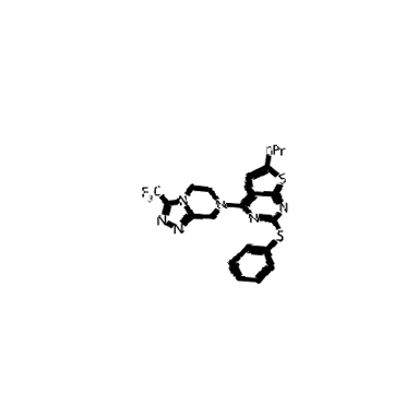 CCCc1cc2c(N3CCn4c(nnc4C(F)(F)F)C3)nc(Sc3ccccc3)nc2s1